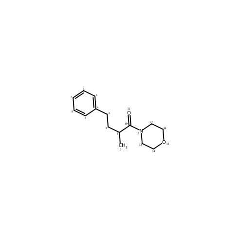 CC(CCc1ccccc1)C(=O)N1CCOCC1